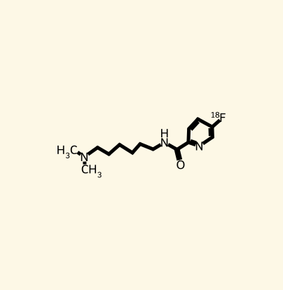 CN(C)CCCCCCNC(=O)c1ccc([18F])cn1